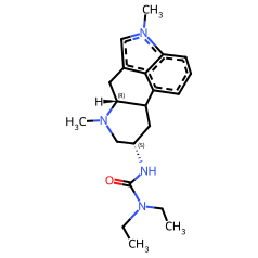 CCN(CC)C(=O)N[C@H]1CC2c3cccc4c3c(cn4C)C[C@H]2N(C)C1